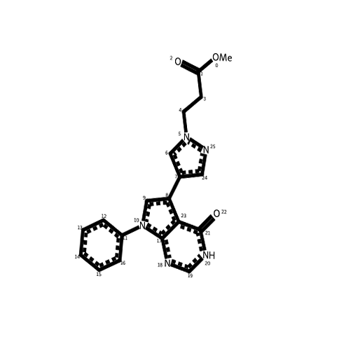 COC(=O)CCn1cc(-c2cn(-c3ccccc3)c3nc[nH]c(=O)c23)cn1